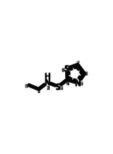 CCNSc1nccs1